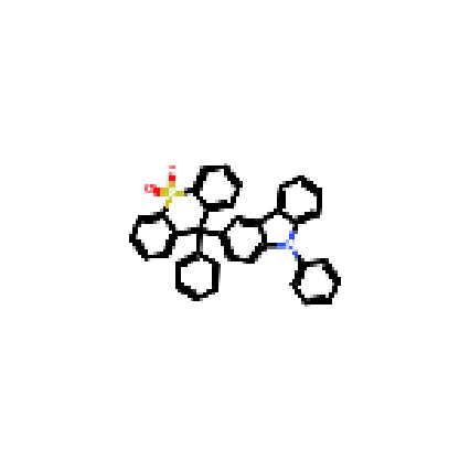 O=S1(=O)c2ccccc2C(c2ccccc2)(c2ccc3c(c2)c2ccccc2n3-c2ccccc2)c2ccccc21